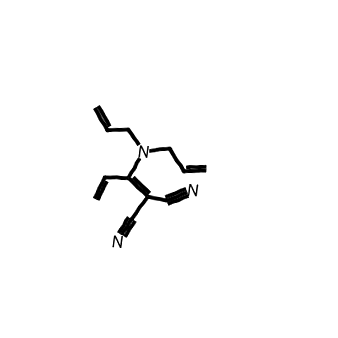 C=CCN(CC=C)C(C=C)=C(C#N)C#N